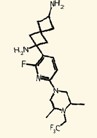 CC1CN(c2ccc(C3(N)CC4(CC(N)C4)C3)c(F)n2)CC(C)N1CC(F)(F)F